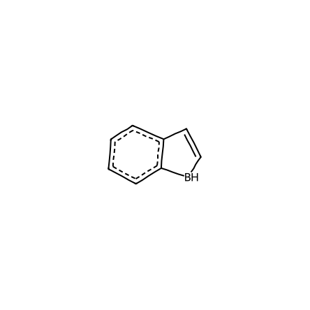 B1C=Cc2ccccc21